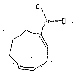 [Cl][Pt]([Cl])[C]1=CCC=CCCC1